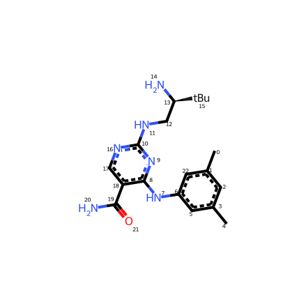 Cc1cc(C)cc(Nc2nc(NC[C@@H](N)C(C)(C)C)ncc2C(N)=O)c1